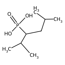 CC(C)CC(C(C)C)P(=O)(O)O